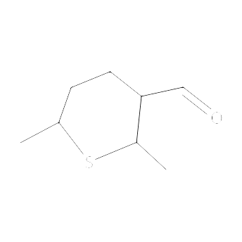 CC1CCC(C=O)C(C)S1